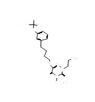 CCCCCCCn1c(=O)c(NCCCCc2cccc(OC(C)(C)C(=O)O)c2)nn(CCC#N)c1=O